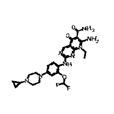 CCn1c(N)c(C(N)=O)c(=O)c2cnc(Nc3ccc(N4CCN(C5CC5)CC4)cc3OC(F)F)nc21